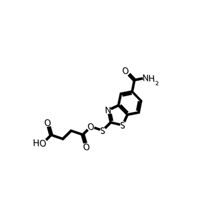 NC(=O)c1ccc2sc(SOC(=O)CCC(=O)O)nc2c1